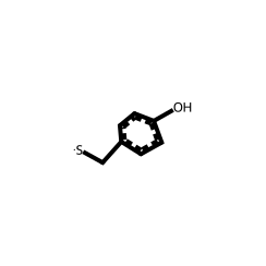 Oc1ccc(C[S])cc1